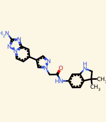 CC1(C)CNc2cc(NC(=O)Cn3cc(-c4ccn5nc(N)nc5c4)cn3)ccc21